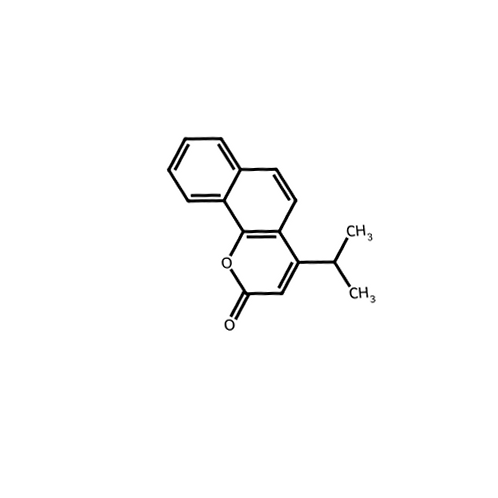 CC(C)c1cc(=O)oc2c1ccc1ccccc12